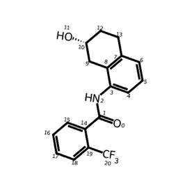 O=C(Nc1cccc2c1C[C@H](O)CC2)c1ccccc1C(F)(F)F